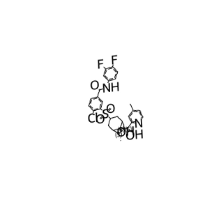 Cc1ccnc([C@H](O)[C@@]2(O)C3CC(S(=O)(=O)c4cc(C(=O)Nc5ccc(F)c(F)c5)ccc4Cl)CC2[C@@H](C)C3)c1